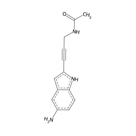 CC(=O)NCC#Cc1cc2cc(N)ccc2[nH]1